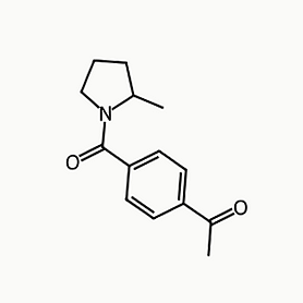 CC(=O)c1ccc(C(=O)N2CCCC2C)cc1